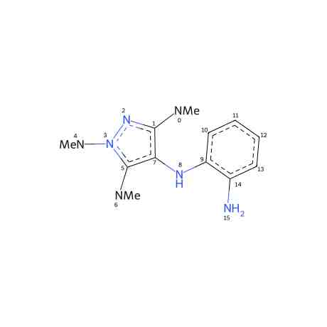 CNc1nn(NC)c(NC)c1Nc1ccccc1N